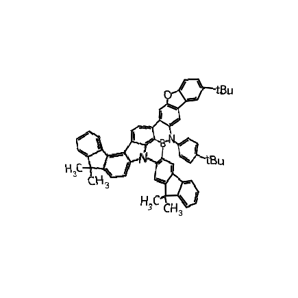 CC(C)(C)c1ccc(N2B3c4cc5c(cc4-n4c6ccc7c(c6c6ccc(c3c64)-c3cc4oc6ccc(C(C)(C)C)cc6c4cc32)-c2ccccc2C7(C)C)C(C)(C)c2ccccc2-5)cc1